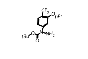 CCCOc1cc(N(N)C(=O)OC(C)(C)C)ccc1C(F)(F)F